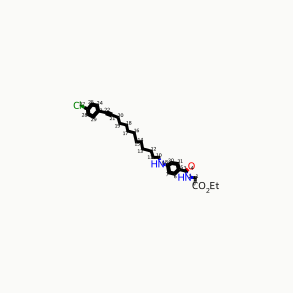 CCOC(=O)CNC(=O)c1ccc(NCCCCCCCCCCCC#Cc2ccc(Cl)cc2)cc1